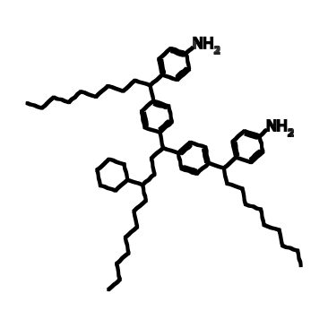 CCCCCCCCCC(c1ccc(N)cc1)c1ccc(C(CCC(CCCCCCCC)C2CCCCC2)c2ccc(C(CCCCCCCCC)c3ccc(N)cc3)cc2)cc1